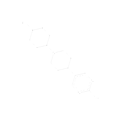 CCc1ncc(C2CCN(C3CCC(C(C)C)CC3)CC2)cn1